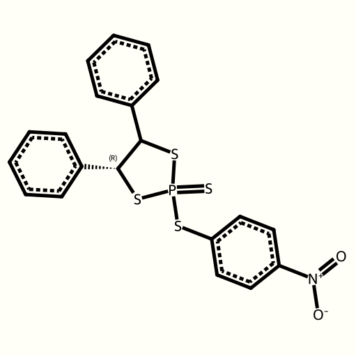 O=[N+]([O-])c1ccc(SP2(=S)SC(c3ccccc3)[C@@H](c3ccccc3)S2)cc1